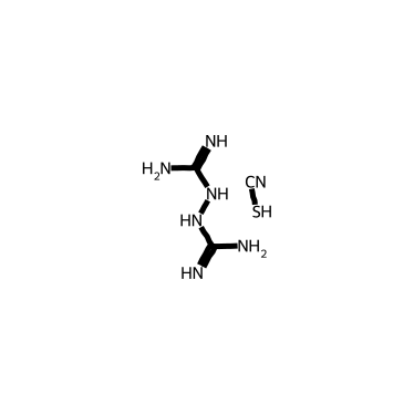 N#CS.N=C(N)NNC(=N)N